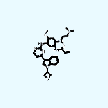 C=CC(=O)Nc1cc(Nc2nccc(-c3cn(C4COC4)c4ccccc34)n2)c(OC)cc1N(C)CCN(C)C